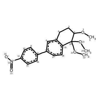 COC1CCc2cc(-c3ccc([N+](=O)[O-])cc3)ccc2C1(OC)OC